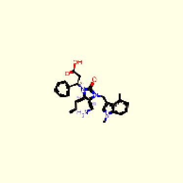 C=C/C=c1\c(=C/N)n(Cc2cn(C)c3cccc(C)c23)c(=O)n1[C@H](CC(=O)O)c1ccccc1